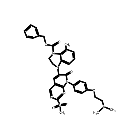 Cc1cccc2c1N(C(=O)OCc1ccccc1)CCN2c1cc2cnc(S(C)(=O)=O)nc2n(-c2ccc(OCCN(C)C)cc2)c1=O